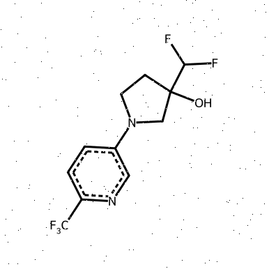 OC1(C(F)F)CCN(c2ccc(C(F)(F)F)nc2)C1